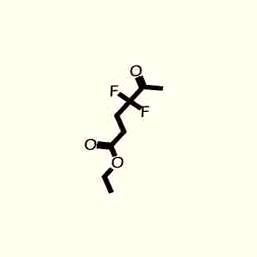 CCOC(=O)CCC(F)(F)C(C)=O